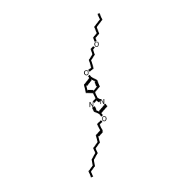 CCCCCCC/C=C/COc1cnc(-c2ccc(OCCCCOCCCCC)cc2)nc1